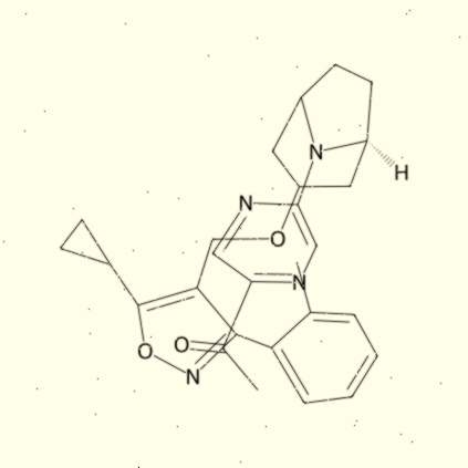 CC(=O)c1cnc(N2C3CC[C@H]2CC(OCc2c(-c4ccccc4C)noc2C2CC2)C3)cn1